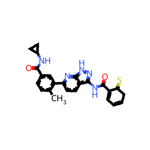 Cc1ccc(C(=O)NC2CC2)cc1-c1ccc2c(NC(=O)C3=CC=CCC3=S)n[nH]c2n1